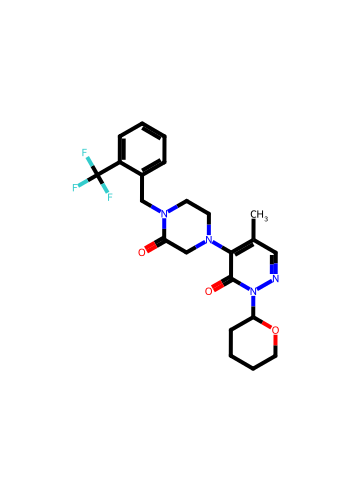 Cc1cnn(C2CCCCO2)c(=O)c1N1CCN(Cc2ccccc2C(F)(F)F)C(=O)C1